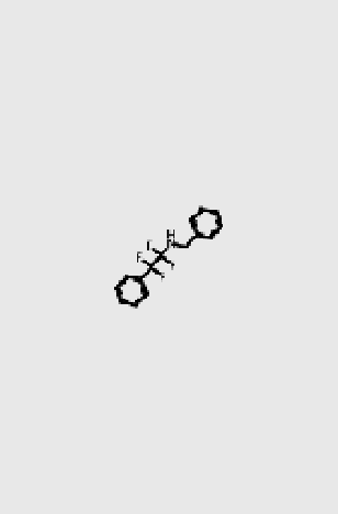 FC(F)(NCc1ccccc1)C(F)(F)c1ccccc1